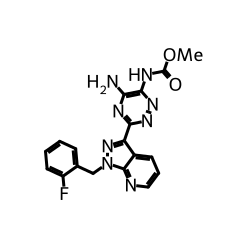 COC(=O)Nc1nnc(-c2nn(Cc3ccccc3F)c3ncccc23)nc1N